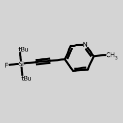 Cc1ccc(C#C[Si](F)(C(C)(C)C)C(C)(C)C)cn1